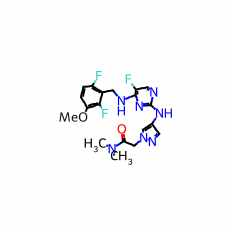 COc1ccc(F)c(CNc2nc(Nc3cnn(CC(=O)N(C)C)c3)ncc2F)c1F